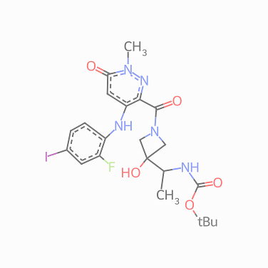 CC(NC(=O)OC(C)(C)C)C1(O)CN(C(=O)c2nn(C)c(=O)cc2Nc2ccc(I)cc2F)C1